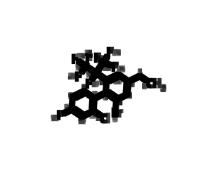 CCc1[c]c(Br)c(-c2ccc(F)cc2Cl)c(C(F)(C(F)(F)F)C(F)(F)F)c1